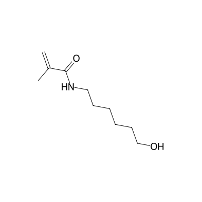 C=C(C)C(=O)NCCCCCCO